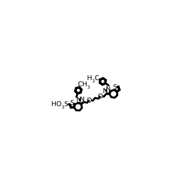 Cc1ccc(Cn2nc(COCCCOCc3nn(Cc4ccc(C)cc4)c4c3CCCc3cc(S(=O)(=O)O)sc3-4)c3c2-c2sccc2CCC3)cc1